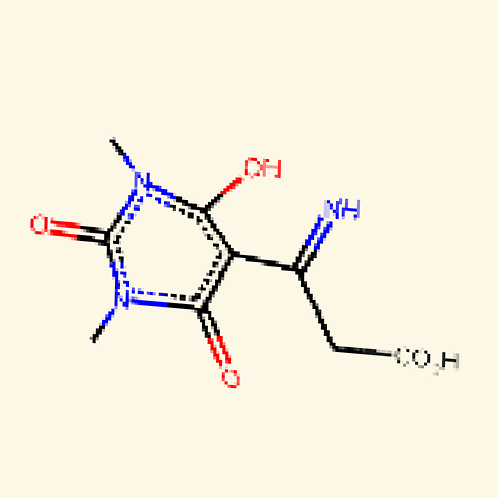 Cn1c(O)c(C(=N)CC(=O)O)c(=O)n(C)c1=O